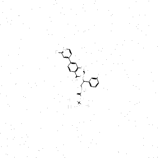 CC(C)(C)OC(=O)NCC(c1cccc(Cl)c1)n1cnc2cc(-c3ccnc(F)c3)ccc2c1=O